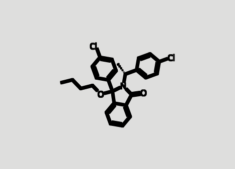 CCCCOC1(c2ccc(Cl)cc2)c2ccccc2C(=O)N1[C@H](C)c1ccc(Cl)cc1